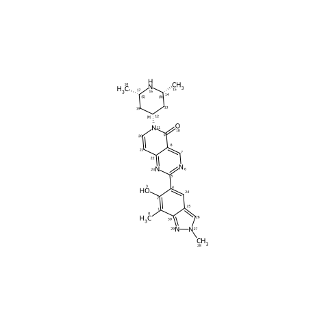 Cc1c(O)c(-c2ncc3c(=O)n([C@H]4C[C@@H](C)N[C@@H](C)C4)ccc3n2)cc2cn(C)nc12